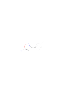 CC1CC2(c3cc(N)on3)CC1C2